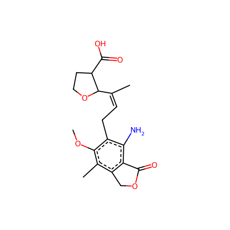 COc1c(C)c2c(c(N)c1CC=C(C)C1OCCC1C(=O)O)C(=O)OC2